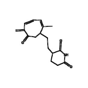 C=C1/C=C\C=C(\C)C(CCC2CCC(=O)NC2=O)CC1=O